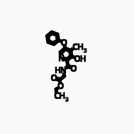 CCOC(=O)CNC(=O)c1ncc(Oc2ccccc2)c(C)c1O